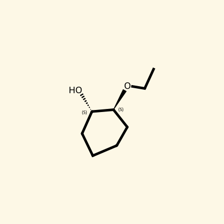 CCO[C@H]1CCCC[C@@H]1O